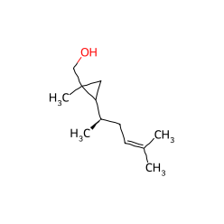 CC(C)=CC[C@@H](C)C1CC1(C)CO